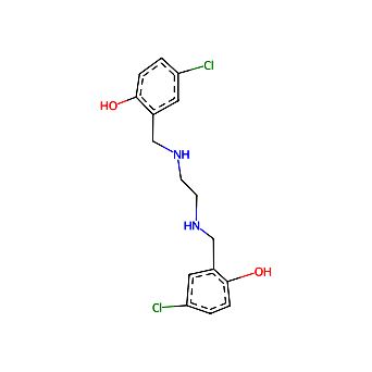 Oc1ccc(Cl)cc1CNCCNCc1cc(Cl)ccc1O